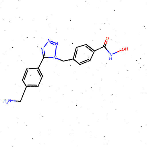 NCc1ccc(-c2nnnn2Cc2ccc(C(=O)NO)cc2)cc1